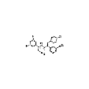 C[C@H](N[C@@H](CC#N)c1cc(F)cc(F)c1)C(Cc1ccc(Cl)cc1)c1cccc(C#N)c1